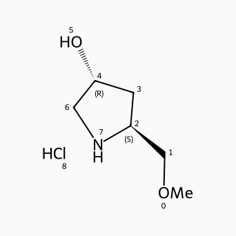 COC[C@@H]1C[C@@H](O)CN1.Cl